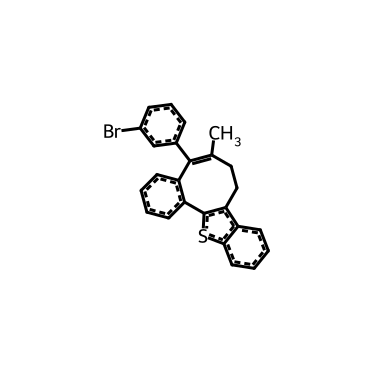 C/C1=C(\c2cccc(Br)c2)c2ccccc2-c2sc3ccccc3c2CC1